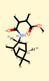 COC(=O)C(C)C(C)C(=O)N[C@@H]1C[C@@H]2CC(C1C)C2(C)C